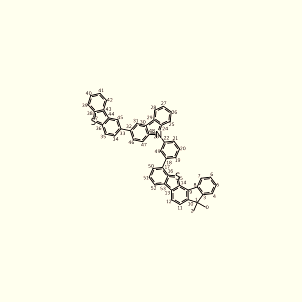 CC1(C)c2ccccc2-c2c1ccc1c2sc2c(-c3cccc(-n4c5ccccc5c5cc(-c6ccc7sc8ccccc8c7c6)ccc54)c3)cccc21